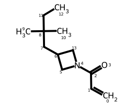 C=CC(=O)N1CC(CC(C)(C)CC)C1